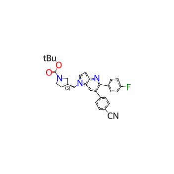 CC(C)(C)OC(=O)N1CC[C@H](Cn2ccc3nc(-c4ccc(F)cc4)c(-c4ccc(C#N)cc4)cc32)C1